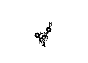 CC(C)Cn1ncc(-c2ccccc2)c(CC(=O)NCc2ccc(C#N)cc2)c1=O